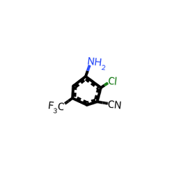 N#Cc1cc(C(F)(F)F)cc(N)c1Cl